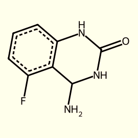 NC1NC(=O)Nc2cccc(F)c21